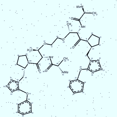 CN[C@@H](C)C(=O)N[C@H](C(=O)N1CCC[C@H]1Cn1nnnc1Oc1ccccc1)[C@@H](C)OCCO[C@H](C)[C@H](NC(=O)[C@H](C)NC)C(=O)N1CCC[C@H]1Cn1nnnc1Oc1ccccc1